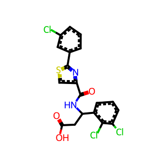 O=C(O)CC(NC(=O)c1csc(-c2cccc(Cl)c2)n1)c1cccc(Cl)c1Cl